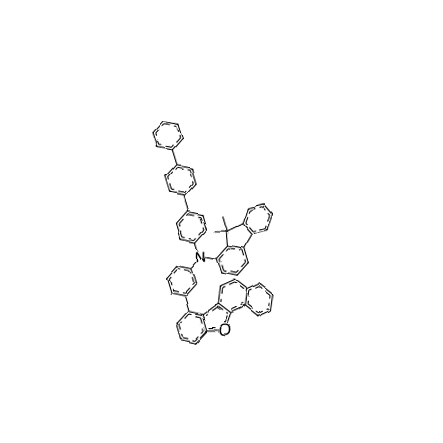 CC1(C)c2ccccc2-c2cccc(N(c3ccc(-c4ccc(-c5ccccc5)cc4)cc3)c3cccc(-c4cccc5oc6c7ccccc7ccc6c45)c3)c21